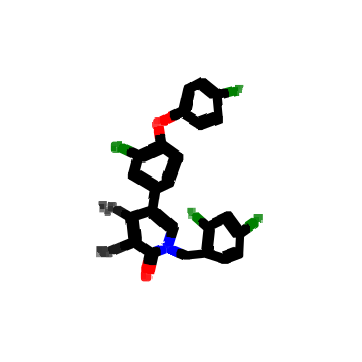 N#Cc1c(C(F)(F)F)c(-c2ccc(Oc3ccc(F)cc3)c(Cl)c2)cn(Cc2ccc(F)cc2F)c1=O